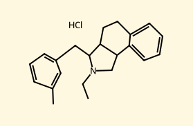 CCN1CC2c3ccccc3CCC2C1Cc1cccc(C)c1.Cl